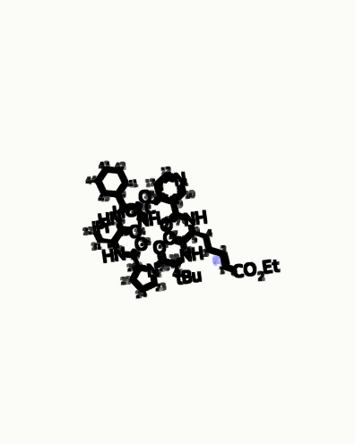 CCOC(=O)/C=C/CC[C@H](NC(=O)c1cnccc1C(=O)O)C(=O)N[C@H](C(=O)N1CCC[C@H]1C(=O)N[C@@H](CC(C)C)C(=O)N[C@H](C(N)=O)C1CCCCC1)C(C)(C)C